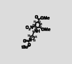 COC(=O)c1cc(OC)c(NCC2CCN(C(=O)OC(C)(C)C)C2)c([N+](=O)[O-])c1